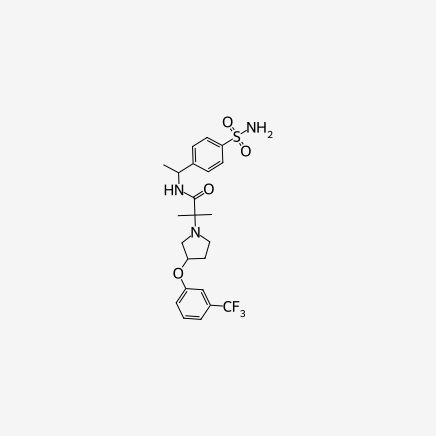 CC(NC(=O)C(C)(C)N1CCC(Oc2cccc(C(F)(F)F)c2)C1)c1ccc(S(N)(=O)=O)cc1